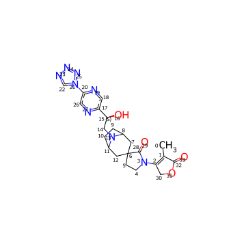 CC1=C(N2CCC3(CC4CCC(C3)N4C[C@H](O)c3cnc(-n4cnnn4)cn3)C2=O)COC1=O